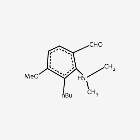 CCCCc1c(OC)ccc(C=O)c1[SiH](C)C